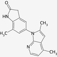 Cc1cc(-n2c(C)cc3c(C)ccnc32)cc2c1NC(=O)C2